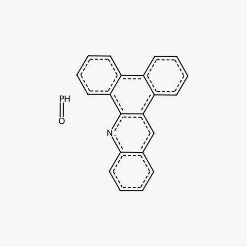 O=P.c1ccc2nc3c4ccccc4c4ccccc4c3cc2c1